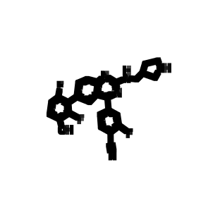 N#Cc1ccc(-c2nc(NCC3CCNC3)nc3ccc(-c4c(F)ccc(O)c4F)cc23)cc1F